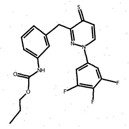 CCCOC(=O)Nc1cccc(Cc2nn(-c3cc(F)c(F)c(F)c3)ccc2=S)c1